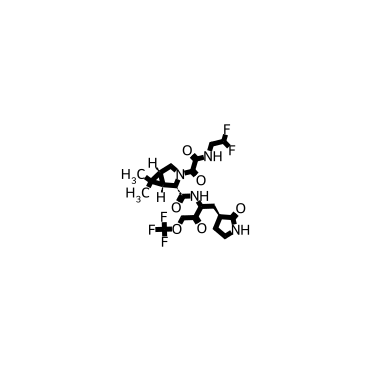 CC1(C)[C@@H]2[C@@H](C(=O)NC(C[C@@H]3CCNC3=O)C(=O)COC(F)(F)F)N(C(=O)C(=O)NCC(F)F)C[C@@H]21